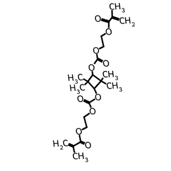 C=C(C)C(=O)OCCOC(=O)OC1C(C)(C)C(OC(=O)OCCOC(=O)C(=C)C)C1(C)C